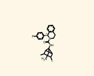 CC1C2C3(NC(=O)N4CCc5ccccc5[C@@H]4c4ccc(F)cc4)C4C(I)C1(N)C243